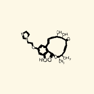 C[C@@H]1/C=C\C(=O)[C@@H](O)[C@@H](O)C/C=C/c2cc(OCCN3C=NCC3)cc(O)c2C(=O)O[C@H]1C